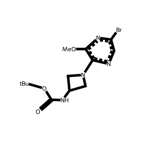 COc1nc(Br)cnc1N1CC(NC(=O)OC(C)(C)C)C1